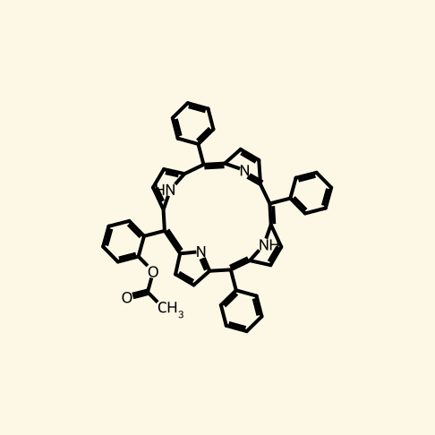 CC(=O)Oc1ccccc1-c1c2nc(c(-c3ccccc3)c3ccc([nH]3)c(-c3ccccc3)c3nc(c(-c4ccccc4)c4ccc1[nH]4)C=C3)C=C2